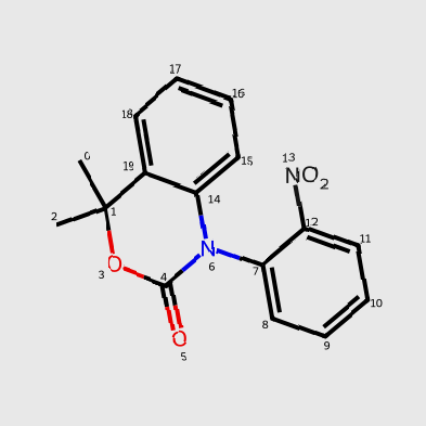 CC1(C)OC(=O)N(c2ccccc2[N+](=O)[O-])c2ccccc21